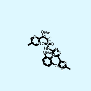 COc1cccc(OC)c1-n1c(NS(=O)(=O)[C@@H](C)[C@H](OC)c2ncc(C)cn2)nnc1-c1csc(C)n1